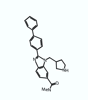 CNC(=O)c1ccc2nc(-c3ccc(-c4ccccc4)cc3)n(CC3CCNC3)c2c1